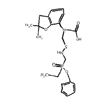 CCP(=O)(CNSCN(C(=O)O)c1cccc2c1OC(C)(C)C2)Oc1ccccc1